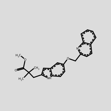 COC(=O)C(C)(C)Cc1cc2cc(OCc3ccc4ccccc4n3)ccc2[nH]1